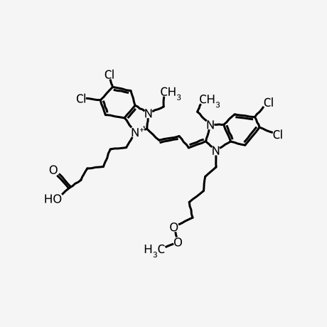 CCN1C(=CC=Cc2n(CC)c3cc(Cl)c(Cl)cc3[n+]2CCCCCC(=O)O)N(CCCCCOOC)c2cc(Cl)c(Cl)cc21